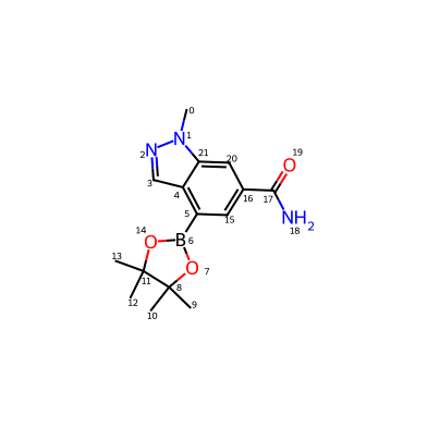 Cn1ncc2c(B3OC(C)(C)C(C)(C)O3)cc(C(N)=O)cc21